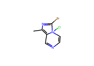 CC1=C2C=NC=C[N+]2(Cl)C(Br)=N1